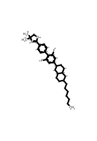 CCCCCCCC1CCC2CC(c3cc(F)c(-c4ccc(C5=NC(C)(C)CO5)cc4)c(F)c3)CCC2C1